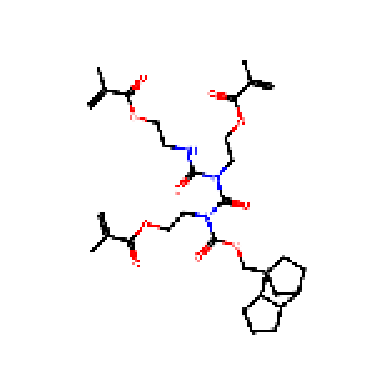 C=C(C)C(=O)OCCNC(=O)N(CCOC(=O)C(=C)C)C(=O)N(CCOC(=O)C(=C)C)C(=O)OCC12CCC(C1)C1CCCC12